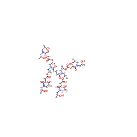 CC(O)CN(CC(C)O)C(=O)CCC(=O)OC(C)CN(CC(C)OC(=O)CCC(=O)N(CC(C)O)CC(C)O)C(=O)CCCC(=O)N(CC(C)OC(=O)CCC(=O)N(CC(C)O)CC(C)O)CC(C)OC(=O)CCC(=O)N(CC(C)O)CC(C)O